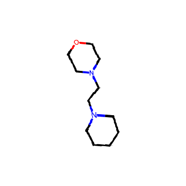 [CH]1CCN(CCN2CCOCC2)CC1